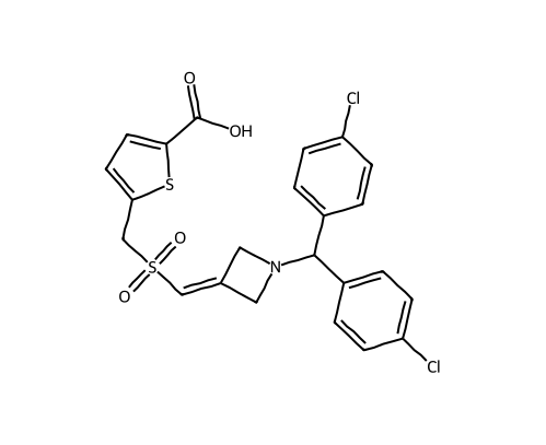 O=C(O)c1ccc(CS(=O)(=O)C=C2CN(C(c3ccc(Cl)cc3)c3ccc(Cl)cc3)C2)s1